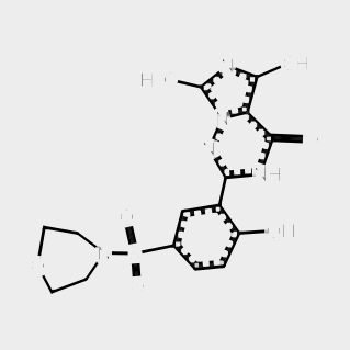 Cc1nc(C)n2nc(-c3cc(S(=O)(=O)N4CCOCC4)ccc3O)[nH]c(=O)c12